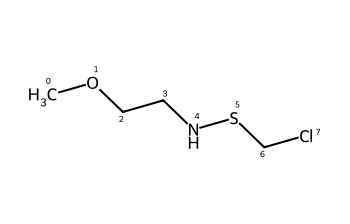 COCCNSCCl